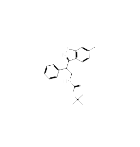 Cc1ccc2c(C(CNC(=O)OC(C)(C)C)c3ccccc3)n[nH]c2c1